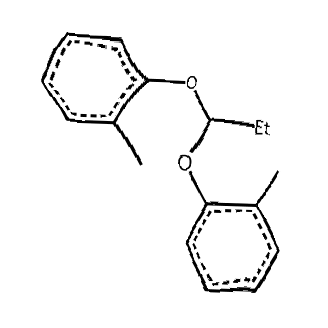 CCC(Oc1ccccc1C)Oc1ccccc1C